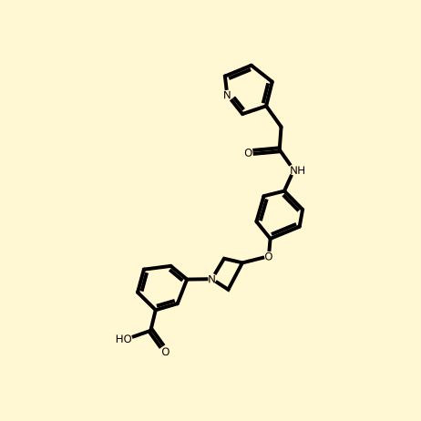 O=C(Cc1cccnc1)Nc1ccc(OC2CN(c3cccc(C(=O)O)c3)C2)cc1